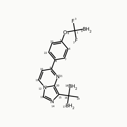 BC(F)(F)Oc1ccc(-c2ccn3cnc(C(B)(B)C)c3n2)cc1